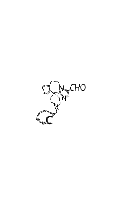 O=Cc1cnc2n1CCc1ccccc1C21CCN(Cc2ccccc2)CC1